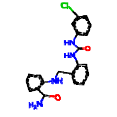 NC(=O)c1ccccc1NCc1ccccc1NC(=O)Nc1cccc(Cl)c1